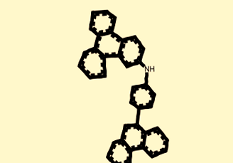 c1ccc2c(c1)cc(-c1ccc(Nc3ccc4c5ccccc5c5ccccc5c4c3)cc1)c1ccccc12